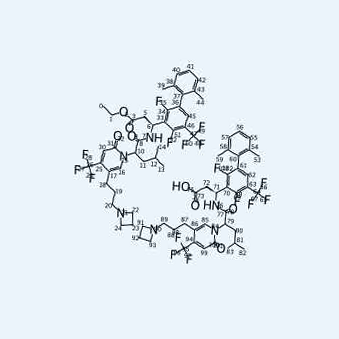 CCOC(=O)C[C@H](NC(=O)C(CC(C)C)n1cc(CCCN2CCC2)c(C(F)(F)F)cc1=O)c1c(F)c(-c2c(C)cccc2C)cc(C(F)(F)F)c1F.Cc1cccc(C)c1-c1cc(C(F)(F)F)c(F)c([C@H](CC(=O)O)NC(=O)C(CC(C)C)n2cc(CCCN3CCC3)c(C(F)(F)F)cc2=O)c1F